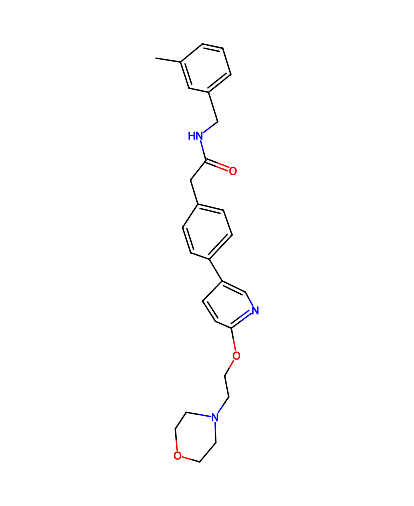 Cc1cccc(CNC(=O)Cc2ccc(-c3ccc(OCCN4CCOCC4)nc3)cc2)c1